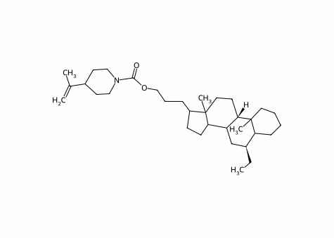 C=C(C)C1CCN(C(=O)OCCCC2CCC3C4C[C@H](CC)C5CCCCC5(C)[C@H]4CCC23C)CC1